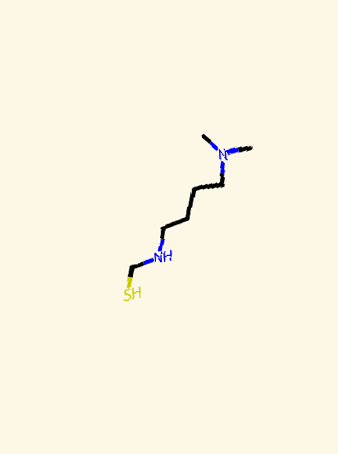 CN(C)CCCCNCS